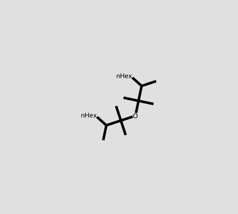 CCCCCCC(C)C(C)(C)OC(C)(C)C(C)CCCCCC